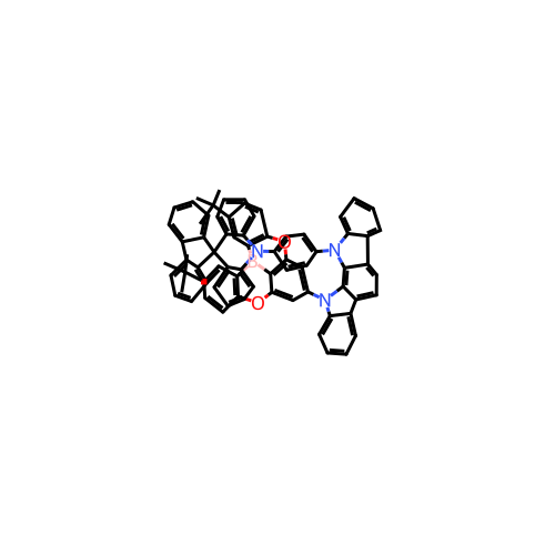 CC(C)(C)c1ccc2c(c1)B1c3cc(C(C)(C)C)ccc3Oc3cc(-n4c5ccccc5c5ccc6c7ccccc7n(-c7ccc(N8c9ccccc9C9(c%10ccccc%10-c%10ccccc%109)c9ccccc98)cc7)c6c54)cc(c31)O2